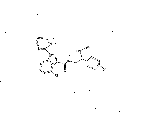 CCCNC(CNC(=O)c1cn(-c2ncccn2)c2cccc(Cl)c12)c1ccc(Cl)cc1